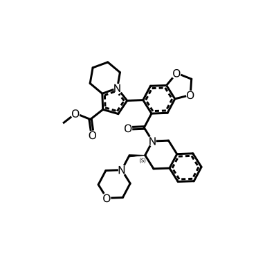 COC(=O)c1cc(-c2cc3c(cc2C(=O)N2Cc4ccccc4C[C@H]2CN2CCOCC2)OCO3)n2c1CCCC2